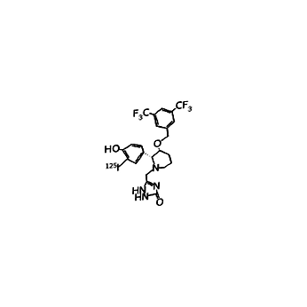 O=c1nc(CN2CCC[C@@H](OCc3cc(C(F)(F)F)cc(C(F)(F)F)c3)[C@H]2c2ccc(O)c([125I])c2)[nH][nH]1